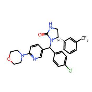 O=C1NC[C@H](c2cccc(C(F)(F)F)c2)N1C(c1ccc(Cl)cc1)c1ccc(N2CCOCC2)nc1